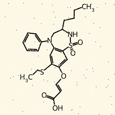 CCCCC1CN(c2ccccc2)c2cc(SCC)c(O/C=C/C(=O)O)cc2S(=O)(=O)N1